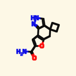 NC(=O)c1cc2c(o1)CC1(CCC1)c1c[nH]nc1-2